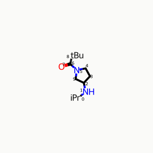 CC(C)NC1CCN(C(=O)C(C)(C)C)C1